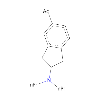 CCCN(CCC)C1Cc2ccc(C(C)=O)cc2C1